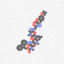 CC(C)C[C@H](NC(=O)C(C)N(C)C(=O)OCC1c2ccccc2-c2ccccc21)C(=O)N(C)[C@@H](CC(C)C)C(=O)N[C@@H](C)C(=O)N(C)[C@@H](C)C(=O)NCC(=O)N[C@@H](Cc1ccc(OC(C)(C)C)cc1)C(=O)O